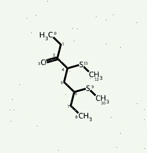 CCC(=O)C(CC(CC)SC)SC